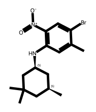 Cc1cc(N[C@H]2C[C@@H](C)CC(C)(C)C2)c([N+](=O)[O-])cc1Br